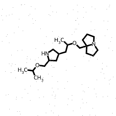 CC(C)OCC1CC(CC(C)OCC23CCCN2CCC3)CN1